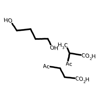 CC(=O)C(C)C(=O)O.CC(=O)CCC(=O)O.OCCCCO